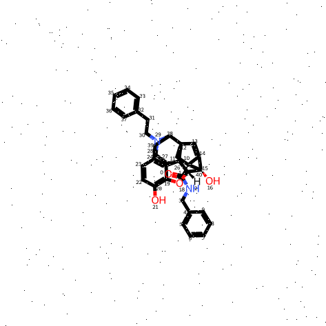 O=C(NCc1ccccc1)[C@@]12CC34C=C1[C@]2(O)[C@@H]1Oc2c(O)ccc5c2[C@@]13CCN(CCc1ccccc1)C4C5